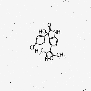 Cc1noc(C)c1-c1ccc2c(c1)C(O)(C1=CC=C(Cl)CC1)C(=O)N2